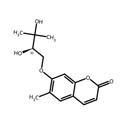 Cc1cc2ccc(=O)oc2cc1OC[C@@H](O)C(C)(C)O